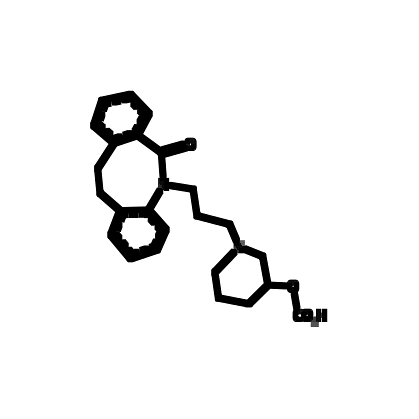 O=C(O)OC1CCCN(CCCN2C(=O)c3ccccc3CCc3ccccc32)C1